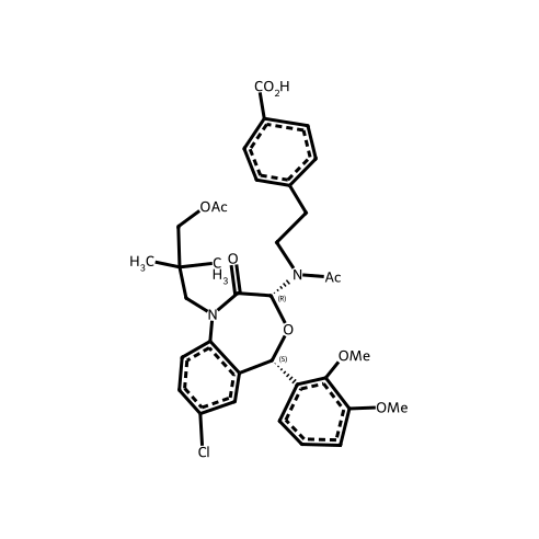 COc1cccc([C@H]2O[C@@H](N(CCc3ccc(C(=O)O)cc3)C(C)=O)C(=O)N(CC(C)(C)COC(C)=O)c3ccc(Cl)cc32)c1OC